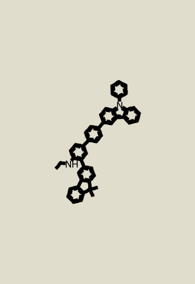 CCNc1ccc(-c2ccc(-c3ccc4c(c3)c3ccccc3n4-c3ccccc3)cc2)cc1-c1ccc2c(c1)-c1ccccc1C2(C)C